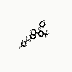 Fc1cnc(NSc2ccc3c(c2)OCCC3c2ccc(C(F)(F)F)cc2OC2CCOCC2)nc1